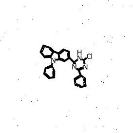 ClC1N=C(c2ccccc2)N=C(c2ccc3c4ccccc4n(-c4ccccc4)c3c2)N1